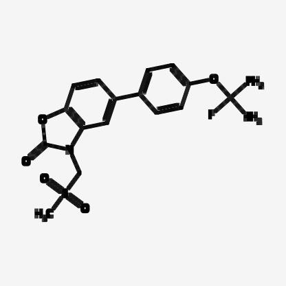 BC(F)(P)Oc1ccc(-c2ccc3oc(=O)n(CS(C)(=O)=O)c3c2)cc1